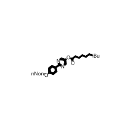 CCCCCCCCCOc1ccc(-c2ncc(OC(=O)CCCCCC(C)CC)cn2)cc1